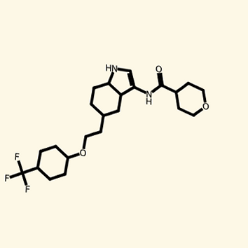 O=C(NC1=CNC2CCC(CCOC3CCC(C(F)(F)F)CC3)CC12)C1CCOCC1